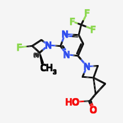 C[C@H]1C(F)CN1c1nc(N2CC3(CC3C(=O)O)C2)cc(C(F)(F)F)n1